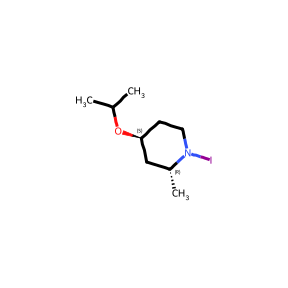 CC(C)O[C@H]1CCN(I)[C@H](C)C1